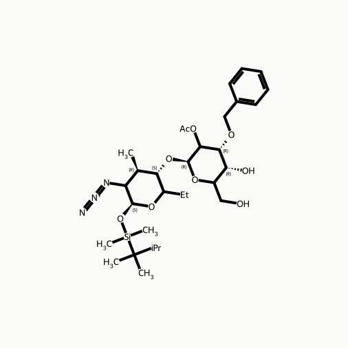 CCC1O[C@@H](O[Si](C)(C)C(C)(C)C(C)C)C(N=[N+]=[N-])[C@@H](C)[C@@H]1O[C@@H]1OC(CO)[C@@H](O)[C@@H](OCc2ccccc2)C1OC(C)=O